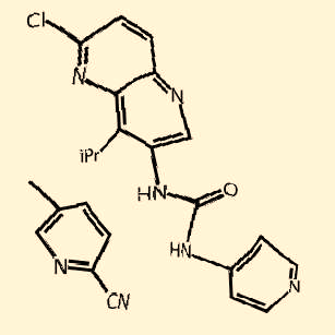 CC(C)c1c(NC(=O)Nc2ccncc2)cnc2ccc(Cl)nc12.Cc1ccc(C#N)nc1